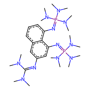 CN(C)C(=Nc1cc(N=P(N(C)C)(N(C)C)N(C)C)c2c(N=P(N(C)C)(N(C)C)N(C)C)cccc2c1)N(C)C